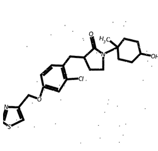 CC1(N2CCC(Cc3ccc(OCc4cscn4)cc3Cl)C2=O)CCC(O)CC1